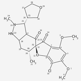 COc1cc(OC)c2c(c1Cl)O[C@]1(C2=O)C(=O)C2C(C[C@H]1C)NN(C)C2[C@@H]1CCOC1